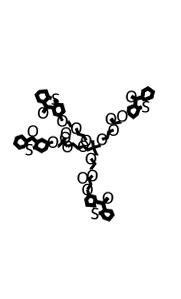 O=C(COc1ccc2sc3ccccc3c(=O)c2c1)OCCOCC(COCCOC(=O)COc1ccc2sc3ccccc3c(=O)c2c1)(COCCOC(=O)COc1ccc2sc3ccccc3c(=O)c2c1)COCCOC(=O)COc1ccc2sc3ccccc3c(=O)c2c1